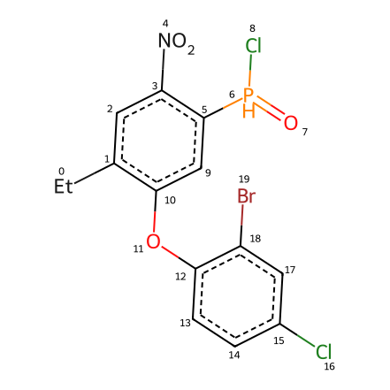 CCc1cc([N+](=O)[O-])c([PH](=O)Cl)cc1Oc1ccc(Cl)cc1Br